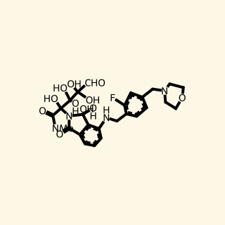 CNC(=O)C(O)(N1C(=O)c2cccc(NCc3ccc(CN4CCOCC4)cc3F)c2C1(O)O)C(O)(O)C(O)(O)C=O